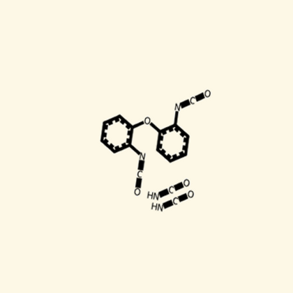 N=C=O.N=C=O.O=C=Nc1ccccc1Oc1ccccc1N=C=O